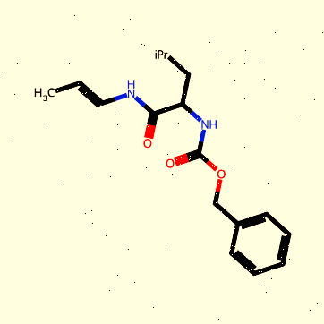 CC=CNC(=O)C(CC(C)C)NC(=O)OCc1ccccc1